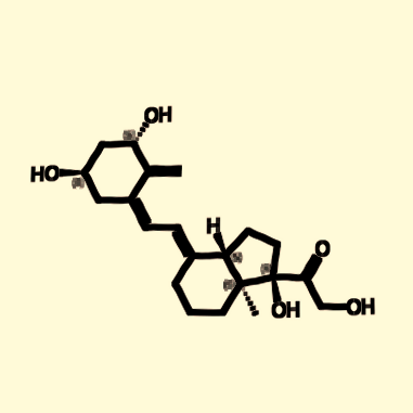 C=C1C(=CC=C2CCC[C@@]3(C)[C@H]2CC[C@]3(O)C(=O)CO)C[C@@H](O)C[C@@H]1O